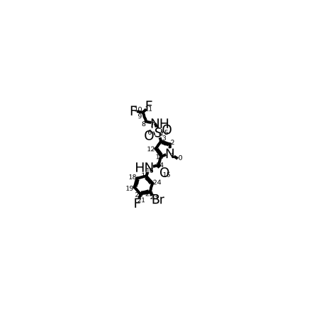 Cn1cc(S(=O)(=O)NCC(F)F)cc1C(=O)Nc1ccc(F)c(Br)c1